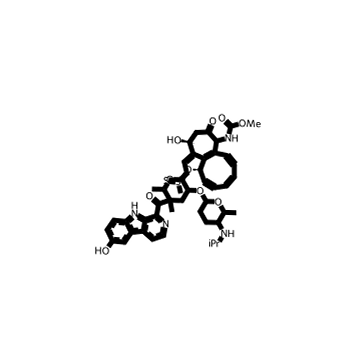 COC(=O)NC1C(=O)C[C@H](O)/C(=C/CS(C)=S)C2=C1C#C/C=C\C#C[C@@H]2OC1OC(C)C(C)(C(=O)c2nccc3c2[nH]c2ccc(O)cc23)CC1OC1CCC(NC(C)C)C(C)O1